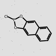 ClP1Oc2cc3ccccc3cc2O1